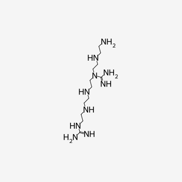 N=C(N)NCCNCCNCCN(CCNCCN)C(=N)N